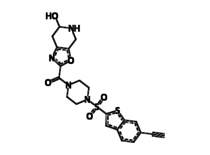 C#Cc1ccc2cc(S(=O)(=O)N3CCN(C(=O)c4nc5c(o4)CNC(O)C5)CC3)sc2c1